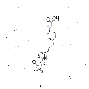 CC(=O)Nc1nc(CCCc2ccc(/C=C/C(=O)O)cc2)cs1